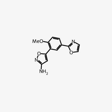 COc1ccc(-c2ncco2)cc1-c1cc(N)no1